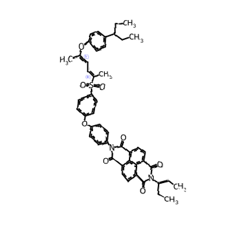 CCC(CC)c1ccc(O/C(C)=C/C=C(\C)S(=O)(=O)c2ccc(Oc3ccc(N4C(=O)c5ccc6c7c(ccc(c57)C4=O)C(=O)N(C(CC)CC)C6=O)cc3)cc2)cc1